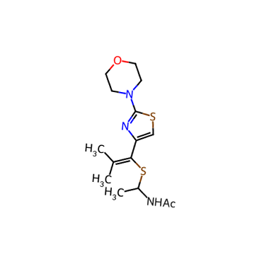 CC(=O)NC(C)SC(=C(C)C)c1csc(N2CCOCC2)n1